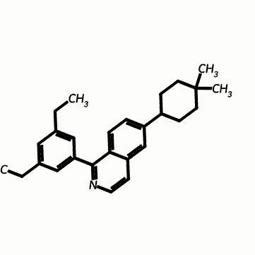 CCc1cc(CC)cc(-c2nccc3cc(C4CCC(C)(C)CC4)ccc23)c1